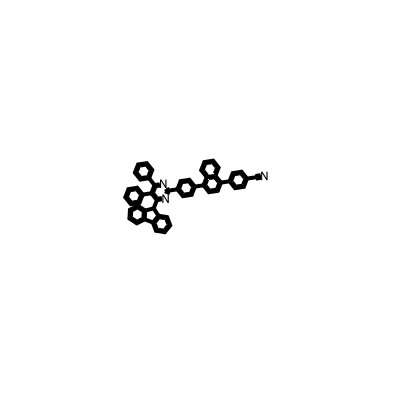 N#Cc1ccc(-c2ccc(-c3ccc(-c4nc(-c5ccccc5)c(-c5ccccc5)c(C5c6ccccc6-c6ccccc65)n4)cc3)c3ccccc23)cc1